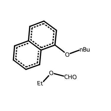 CCCCOc1cccc2ccccc12.CCOC=O